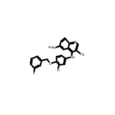 CC(=O)Nc1ccc2ncc(C#N)c(Nc3ccc(OCc4cccc(F)c4)c(Cl)c3)c2c1